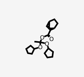 CC(OC(=O)C1=CC2CCC1C2)(OC1CCCC1)OC1CCCC1